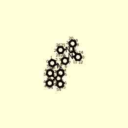 c1ccc(N(c2ccc(-n3c4ccccc4c4c5ccccc5n(-c5ccccc5)c43)cc2)c2ccc3c(c2)C(c2ccccc2)(c2ccccc2)c2ccccc2-3)cc1